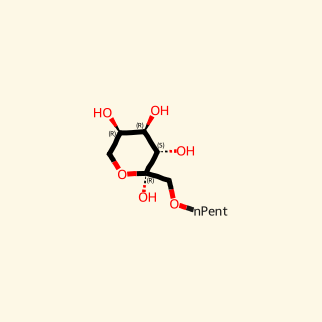 CCCCCOC[C@@]1(O)OC[C@@H](O)[C@@H](O)[C@@H]1O